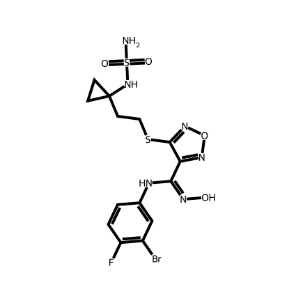 NS(=O)(=O)NC1(CCSc2nonc2C(=NO)Nc2ccc(F)c(Br)c2)CC1